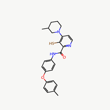 Cc1ccc(Oc2ccc(NC(=O)c3nccc(N4CCCC(C)C4)c3S)cc2)cc1